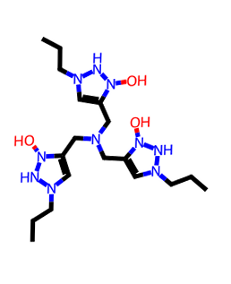 CCCN1C=C(CN(CC2=CN(CCC)NN2O)CC2=CN(CCC)NN2O)N(O)N1